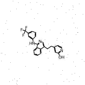 Oc1cc(CCc2cnc(Nc3cccc(C(F)(F)F)c3)c3ccccc23)ccn1